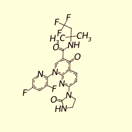 CC(C)(CC(F)(F)F)NC(=O)c1cn(-c2ncc(F)cc2F)c2nc(N3CCNC3=O)ccc2c1=O